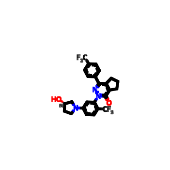 O=c1c2c(c(-c3ccc(C(F)(F)F)cc3)nn1-c1cc(N3CC[C@H](O)C3)ccc1C(F)(F)F)CCC2